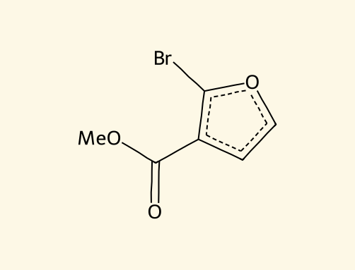 COC(=O)c1ccoc1Br